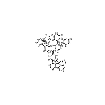 CC1(C)c2ccccc2-c2cccc(-c3ccc(N(c4ccc(-c5ccccc5)c(-c5ccccc5)c4)c4ccc5c(c4)C4(CCCCC4)c4ccccc4-5)cc3)c21